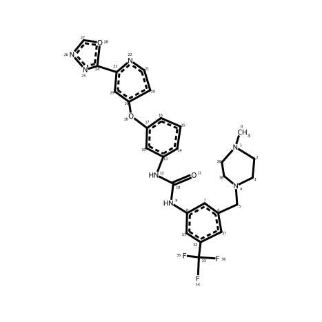 CN1CCN(Cc2cc(NC(=O)Nc3cccc(Oc4ccnc(-c5nnco5)c4)c3)cc(C(F)(F)F)c2)CC1